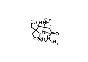 NOC(=O)CC(N)(N)CC(CC(=O)O)(CC(=O)O)CC(=O)O.[Co]